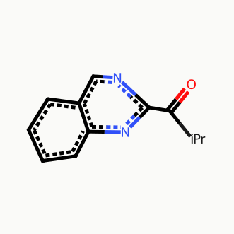 CC(C)C(=O)c1ncc2ccccc2n1